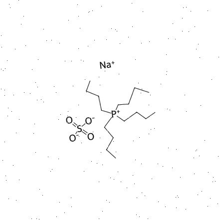 CCCC[P+](CCCC)(CCCC)CCCC.O=S(=O)([O-])[O-].[Na+]